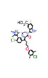 Cc1cc(OCCCc2c3n(c4c(-c5c(C)nn(C)c5C)c(Cl)ccc24)[C@H](C)CN(c2cn(C)c4cc(F)c(C(=O)O)cc24)C3=O)cc(C)c1Cl